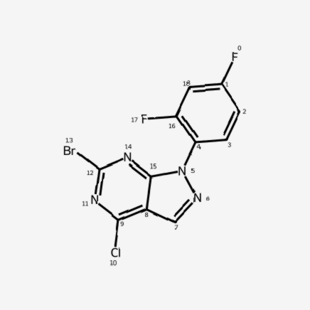 Fc1ccc(-n2ncc3c(Cl)nc(Br)nc32)c(F)c1